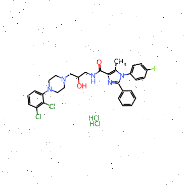 Cc1c(C(=O)NCC(O)CN2CCN(c3cccc(Cl)c3Cl)CC2)nc(-c2ccccc2)n1-c1ccc(F)cc1.Cl.Cl